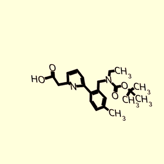 CCN(Cc1cc(C)ccc1-c1cccc(CC(=O)O)n1)C(=O)OC(C)(C)C